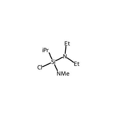 CCN(CC)[Si](Cl)(NC)C(C)C